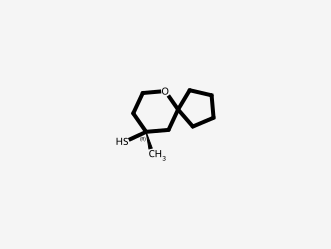 C[C@@]1(S)CCOC2(CCCC2)C1